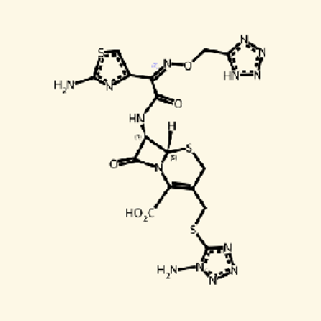 Nc1nc(/C(=N/OCc2nnn[nH]2)C(=O)N[C@@H]2C(=O)N3C(C(=O)O)=C(CSc4nnnn4N)CS[C@@H]23)cs1